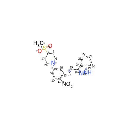 CS(=O)(=O)C1CCN(c2ccc([N+](=O)[O-])c(/C=C/c3n[nH]c4ccccc34)c2)CC1